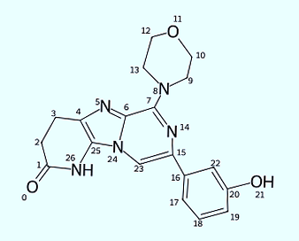 O=C1CCc2nc3c(N4CCOCC4)nc(-c4cccc(O)c4)cn3c2N1